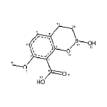 COc1ccc2c(c1C(=O)O)OB(O)CC2